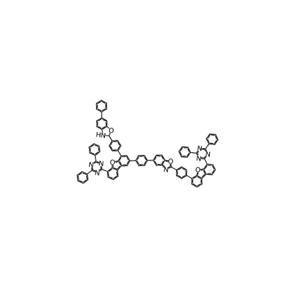 c1ccc(-c2ccc3c(c2)OC(c2ccc(-c4cc(-c5ccc(-c6ccc7oc(-c8ccc(-c9cccc%10c9oc9c(-c%11nc(-c%12ccccc%12)nc(-c%12ccccc%12)n%11)cccc9%10)cc8)nc7c6)cc5)cc5c4oc4c(-c6nc(-c7ccccc7)nc(-c7ccccc7)n6)cccc45)cc2)N3)cc1